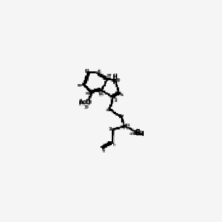 C=CCN(CCCC)CCc1c[nH]c2cccc(OC(C)=O)c12